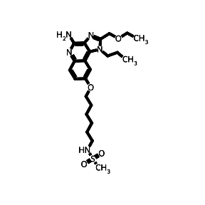 CCCn1c(COCC)nc2c(N)nc3ccc(OCCCCCCNS(C)(=O)=O)cc3c21